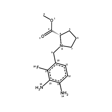 COC(=O)[C@@H]1CCCN1Cc1ccc(N)c(N)c1F